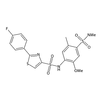 CNS(=O)(=O)c1cc(OC)c(NS(=O)(=O)c2csc(-c3ccc(F)cc3)n2)cc1C